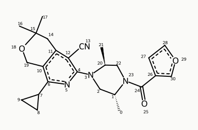 C[C@@H]1CN(c2nc(C3CC3)c3c(c2C#N)CC(C)(C)OC3)[C@@H](C)CN1C(=O)c1ccoc1